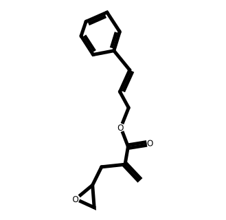 C=C(CC1CO1)C(=O)OCC=Cc1ccccc1